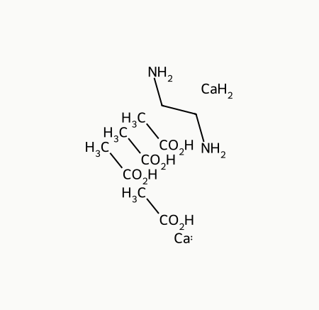 CC(=O)O.CC(=O)O.CC(=O)O.CC(=O)O.NCCN.[CaH2].[Ca]